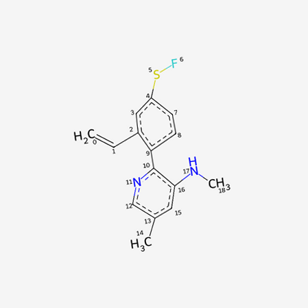 C=Cc1cc(SF)ccc1-c1ncc(C)cc1NC